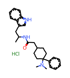 CC(Cc1c[nH]c2ccccc12)NC(=O)CC1CCC(c2ccccc2)(N(C)C)CC1.Cl